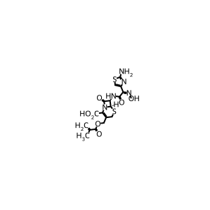 C=C(C)C(=O)OCC1=C(C(=O)O)N2C(=O)[C@@H](NC(=O)/C(=N\O)c3csc(N)n3)[C@H]2SC1